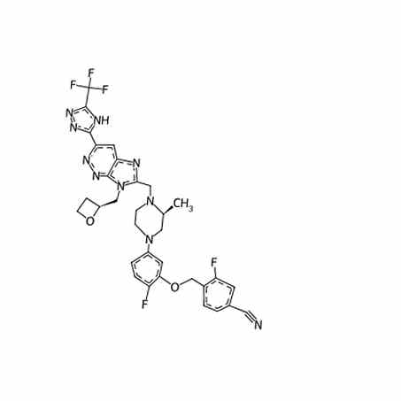 C[C@H]1CN(c2ccc(F)c(OCc3ccc(C#N)cc3F)c2)CCN1Cc1nc2cc(-c3nnc(C(F)(F)F)[nH]3)nnc2n1C[C@@H]1CCO1